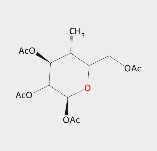 CC(=O)OCC1O[C@@H](OC(C)=O)C(OC(C)=O)[C@@H](OC(C)=O)[C@@H]1C